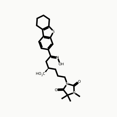 CN1C(=O)N(CCC[C@H](CC(=NO)c2ccc3c4c(sc3c2)CCCC4)C(=O)O)C(=O)C1(C)C